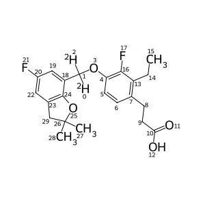 [2H]C([2H])(Oc1ccc(CCC(=O)O)c(CC)c1F)c1cc(F)cc2c1OC(C)(C)C2